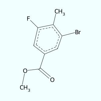 COC(=O)c1cc(F)c(C)c(Br)c1